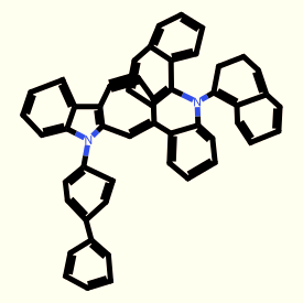 C1#Cc2c(n(-c3ccc(-c4ccccc4)cc3)c3ccccc23)C=C(c2ccccc2N(C2=c3ccccc3=CCC2)c2cccc3ccccc23)C1